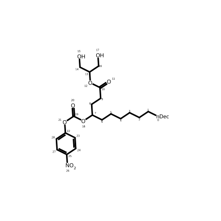 CCCCCCCCCCCCCCCCC(CCC(=O)OC(CO)CO)OC(=O)Oc1ccc([N+](=O)[O-])cc1